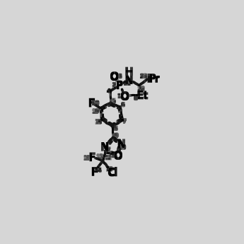 CCOP(=O)(Cc1ccc(-c2noc(C(F)(F)Cl)n2)cc1F)NCC(C)C